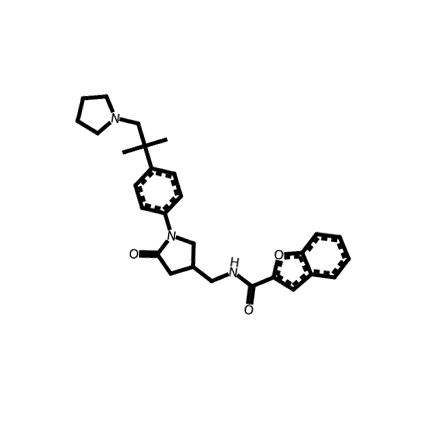 CC(C)(CN1CCCC1)c1ccc(N2CC(CNC(=O)c3cc4ccccc4o3)CC2=O)cc1